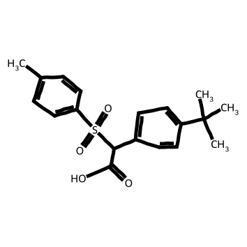 Cc1ccc(S(=O)(=O)C(C(=O)O)c2ccc(C(C)(C)C)cc2)cc1